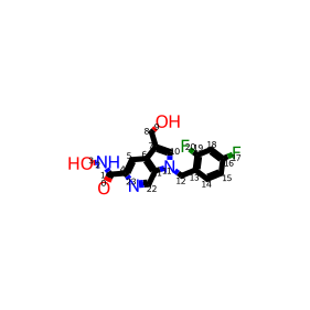 O=C(NO)c1cc2c(CO)cn(Cc3ccc(F)cc3F)c2cn1